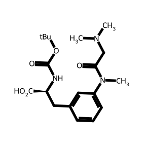 CN(C)CC(=O)N(C)c1cccc(C[C@H](NC(=O)OC(C)(C)C)C(=O)O)c1